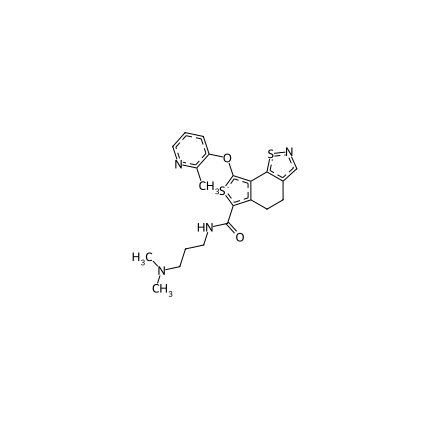 Cc1ncccc1Oc1sc(C(=O)NCCCN(C)C)c2c1-c1sncc1CC2